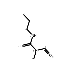 CCCNC(=O)N(C)C=O